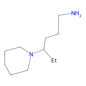 CCC(C[CH]CN)N1CCCCC1